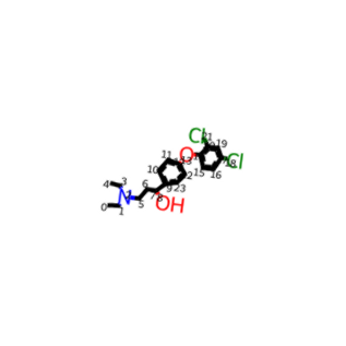 CCN(CC)CCC(O)c1ccc(Oc2ccc(Cl)cc2Cl)cc1